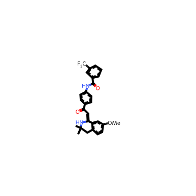 COc1ccc2c(c1)/C(=C/C(=O)c1ccc(NC(=O)c3cccc(C(F)(F)F)c3)cc1)NC(C)(C)C2